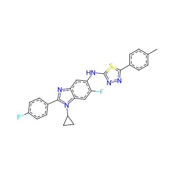 Cc1ccc(-c2nnc(Nc3cc4nc(-c5ccc(F)cc5)n(C5CC5)c4cc3F)s2)cc1